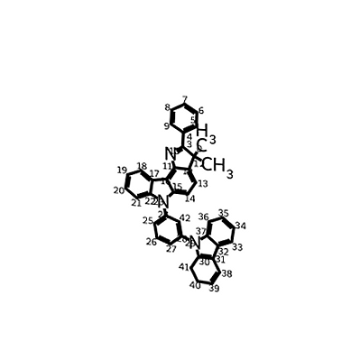 CC1(C)C(c2ccccc2)=Nc2c1ccc1c2c2ccccc2n1-c1cccc(-n2c3c(c4ccccc42)C=CCC3)c1